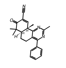 Cc1nc(-c2ccccc2)c2c(n1)[C@@]1(C)C=C(C#N)C(=O)C(C)(C)[C@@H]1CC2